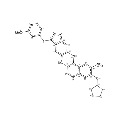 COc1cccc(Cn2ccc3cc(Nc4c(C#N)cnc5cc(OC6CCOC6)c([N+](=O)[O-])cc45)ccc32)c1